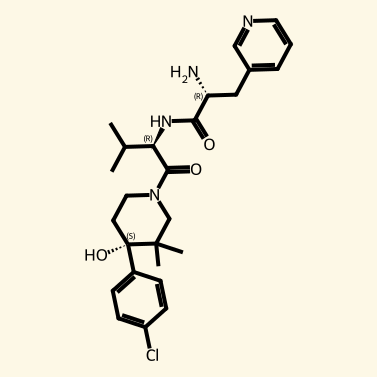 CC(C)[C@@H](NC(=O)[C@H](N)Cc1cccnc1)C(=O)N1CC[C@](O)(c2ccc(Cl)cc2)C(C)(C)C1